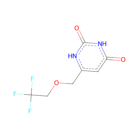 O=c1cc(COCC(F)(F)F)[nH]c(=O)[nH]1